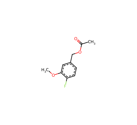 COc1cc(COC(C)=O)ccc1F